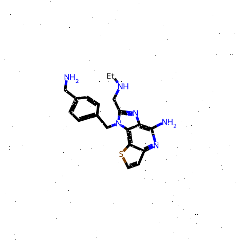 CCNCc1nc2c(N)nc3ccsc3c2n1Cc1ccc(CN)cc1